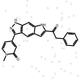 Cn1ccc(-c2n[nH]c3cc4[nH]c(C(=O)Cc5ccccc5)cc4cc23)cc1=O